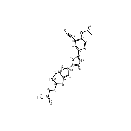 CC(C)Oc1ccc(-c2nnc(-n3cc4c(n3)CNC(CCC(=O)O)C4)s2)cc1C#N